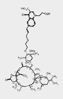 COCCn1cc(C(=O)O)c(=O)c2cc(/C=C/COCCO[C@H]3[C@H](C)O[C@@H](O[C@H]4[C@H](C)[C@@H](O[C@@H]5O[C@H](C)C[C@H](N(C)C)[C@H]5OC(C)=O)[C@](C)(O)C[C@@H](C)CN(C)[C@H](C)[C@H]5OC(=O)O[C@@]56C(C)[C@H]6OC(=O)[C@@H]4C)C[C@@]3(C)OC)ccc21